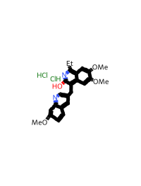 CCc1nc(O)c(Cc2cnc3cc(OC)ccc3c2)c2cc(OC)c(OC)cc12.Cl.Cl